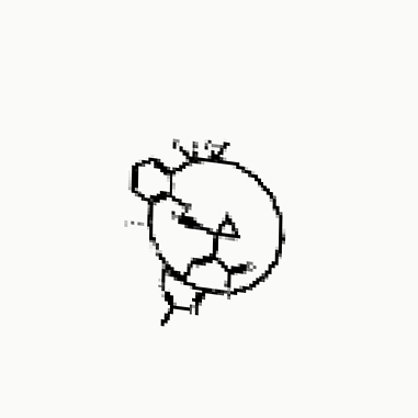 Cc1nc2c3cc(C4(C#N)CC4)c(=O)n(c3n1)CCCCCCCCC(C)(O)C(F)(F)c1cccc(c1F)[C@@H](C)N2